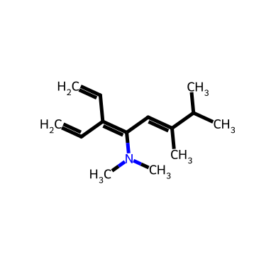 C=CC(C=C)=C(/C=C(\C)C(C)C)N(C)C